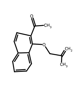 C=C(C)COc1c(C(C)=O)ccc2ccccc12